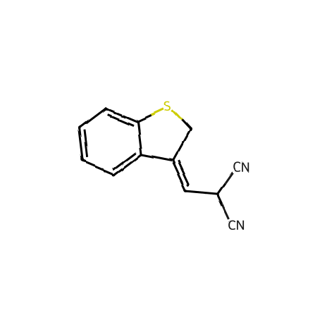 N#CC(C#N)C=C1CSc2ccccc21